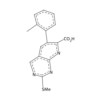 CSc1ncc2cc(-c3ccccc3C)c(C(=O)O)nc2n1